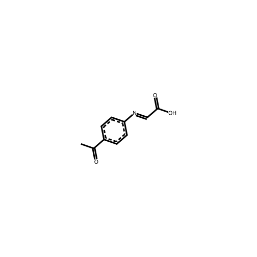 CC(=O)c1ccc(N=CC(=O)O)cc1